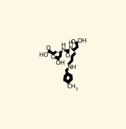 Cc1ccc(CNCCCC[C@@H](CC(=O)O)NC(=O)N[C@@H](CCC(=O)O)CC(=O)O)cc1